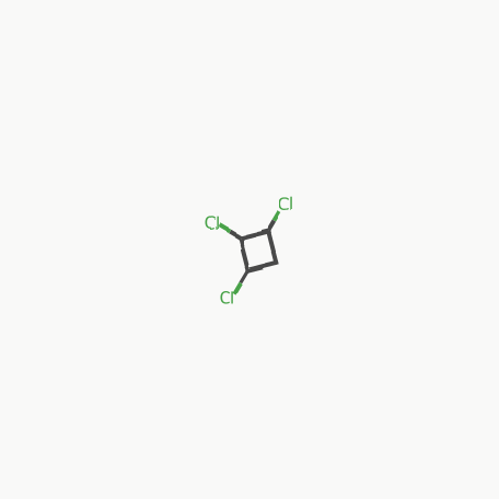 ClC1CC(Cl)C1Cl